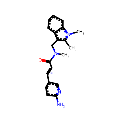 Cc1c(CN(C)C(=O)/C=C/c2ccc(N)nc2)c2ccccc2n1C